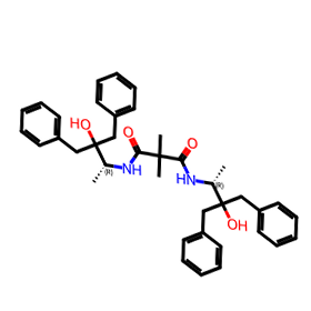 C[C@@H](NC(=O)C(C)(C)C(=O)N[C@H](C)C(O)(Cc1ccccc1)Cc1ccccc1)C(O)(Cc1ccccc1)Cc1ccccc1